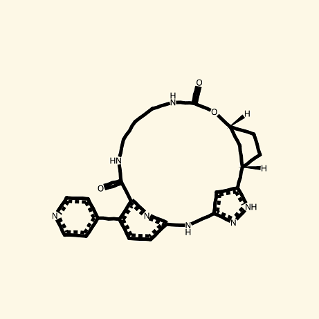 O=C1NCCCNC(=O)c2nc(ccc2-c2ccncc2)Nc2cc([nH]n2)[C@H]2CC[C@H](C2)O1